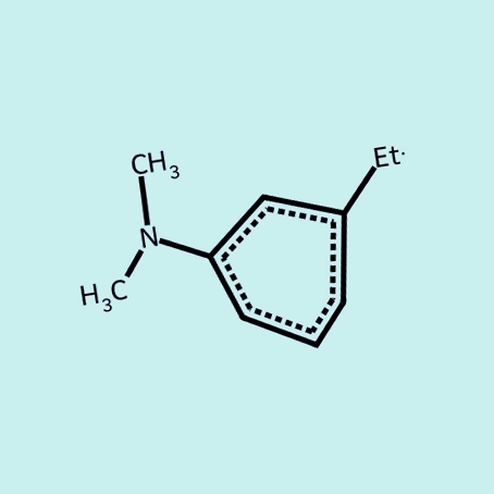 C[CH]c1cccc(N(C)C)c1